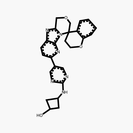 OC1CC(Nc2ncc(-c3ccc4nc5n(c4n3)C3(CCOc4ccccc43)COC5)cn2)C1